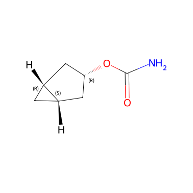 NC(=O)O[C@@H]1C[C@@H]2C[C@@H]2C1